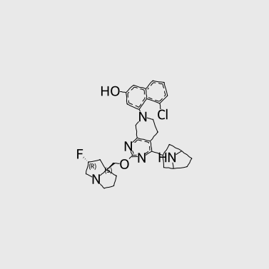 Oc1cc(N2CCc3c(nc(OC[C@@]45CCCN4C[C@H](F)C5)nc3C3CC4CCC(C3)N4)C2)c2c(Cl)cccc2c1